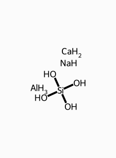 O[Si](O)(O)O.[AlH3].[CaH2].[NaH]